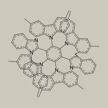 Cc1ccc2c(c1)c1cc(C)ccc1n2-c1c(-c2nc3ccccc3s2)c(-n2c3ccc(C)cc3c3cc(C)ccc32)c(-n2c3ccc(C)cc3c3cc(C)ccc32)c(-c2nc3ccccc3n2-c2ccccc2)c1-n1c2ccc(C)cc2c2cc(C)ccc21